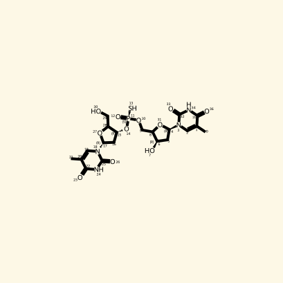 Cc1cn([C@H]2C[C@@H](O)C(CO[P@](=O)(S)O[C@@H]3C[C@H](n4cc(C)c(=O)[nH]c4=O)OC3CO)O2)c(=O)[nH]c1=O